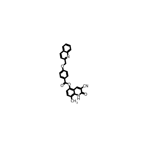 Cc1ccc(OC(=O)c2ccc(OCc3ccc4ccccc4n3)cc2)c2cc(C#N)c(=O)[nH]c12